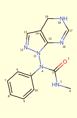 CNC(=O)N(c1ccccc1)n1ncc2c1N=CNC2